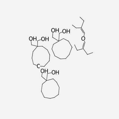 CCC(=COC=C(CC)CC)CC.OCC1(CO)CCCCCCCCC1.OCC1(CO)CCCCCCCCC1.OCC1(CO)CCCCCCCCC1